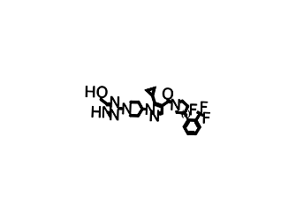 O=C(c1cnn(C2CCN(c3n[nH]c(CO)n3)CC2)c1C1CC1)N1CC[C@@H](c2ccccc2C(F)(F)F)C1